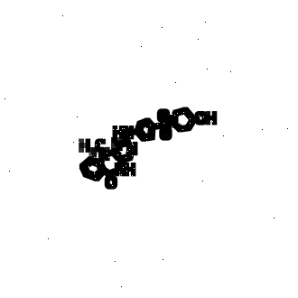 CN1c2ccccc2C(=O)Nc2cnc(Nc3ccc(S(=O)(=O)N4CCC(O)CC4)cc3)nc21